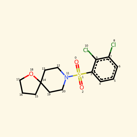 O=S(=O)(c1cccc(Cl)c1Cl)N1CCC2(CCCO2)CC1